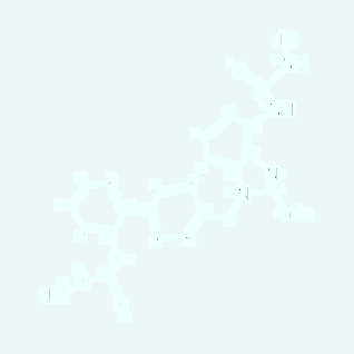 CCCCc1nc2c(NC(=O)NCC)cccc2n1Cc1ccc(-c2ccccc2OC(=O)OC(C)(C)C)cc1